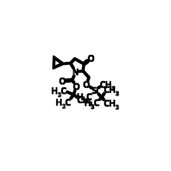 CC(C)(C)OC(=O)N1C(CO[Si](C)(C)C(C)(C)C)C(=O)CC1C1CC1